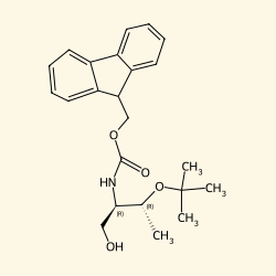 C[C@@H](OC(C)(C)C)[C@@H](CO)NC(=O)OCC1c2ccccc2-c2ccccc21